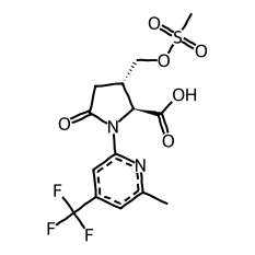 Cc1cc(C(F)(F)F)cc(N2C(=O)C[C@H](COS(C)(=O)=O)[C@H]2C(=O)O)n1